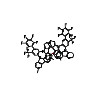 Cc1ccc2c(c1)c1ccccc1n2-c1cc(-c2c(F)c(F)c(F)c(F)c2F)c(C(F)(F)F)cc1-n1c2ccc(C)cc2c2ccc(Cc3ccc4c5c(n(-c6cc(C(F)(F)F)c(-c7c(F)c(F)c(F)c(F)c7F)cc6-n6c7ccccc7c7ccc(C)cc76)c4c3)CCC=C5)cc21